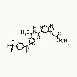 COC(=O)Cn1cnc2cnc(C(=O)NC(C)c3cnc(Nc4ccc(C(F)(F)F)cc4)s3)cc21